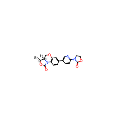 CC[C@@H]1OC(=O)N2c3ccc(-c4ccc(N5CCOC5=O)nc4)cc3OC[C@@H]12